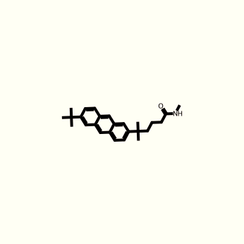 CNC(=O)CCCC(C)(C)c1ccc2cc3cc(C(C)(C)C)ccc3cc2c1